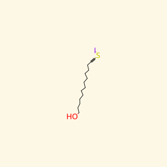 OCCCCCCCCCCCCC#CSI